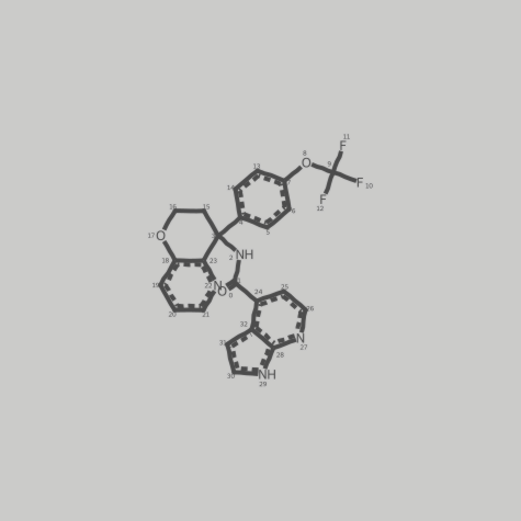 O=C(NC1(c2ccc(OC(F)(F)F)cc2)CCOc2cccnc21)c1ccnc2[nH]ccc12